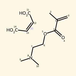 C=C(C)C(=O)OCCN(C)C.O=C(O)/C=C\C(=O)O